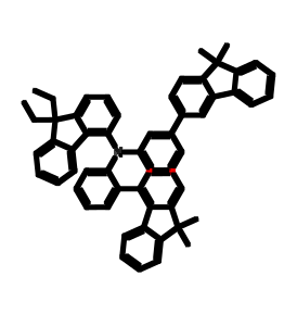 CCC1(CC)c2ccccc2-c2c(N(c3cccc(-c4ccc5c(c4)-c4ccccc4C5(C)C)c3)c3ccccc3-c3cccc4c3-c3ccccc3C4(C)C)cccc21